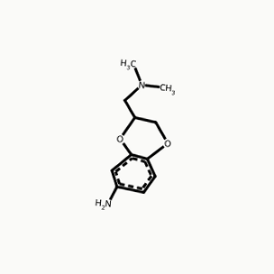 CN(C)CC1COc2ccc(N)cc2O1